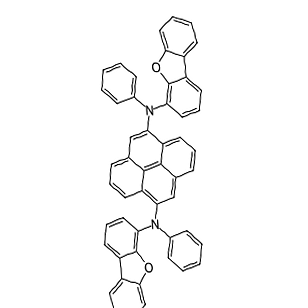 c1ccc(N(c2cc3cccc4c(N(c5ccccc5)c5cccc6c5oc5ccccc56)cc5cccc2c5c34)c2cccc3c2oc2ccccc23)cc1